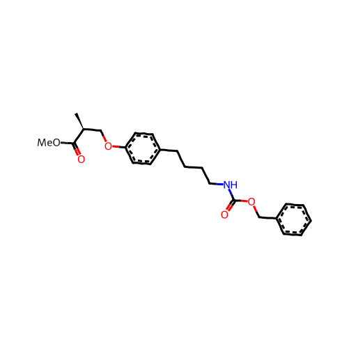 COC(=O)[C@@H](C)COc1ccc(CCCCNC(=O)OCc2ccccc2)cc1